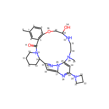 Cc1ccc2c(c1)C(=O)N1CCCCC1c1cc3nc(N4CCC4)cc(n3n1)N(C)CCNC(O)CO2